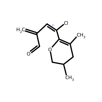 C=C(C=O)/C=C(/Cl)C1=C(C)CC(C)CO1